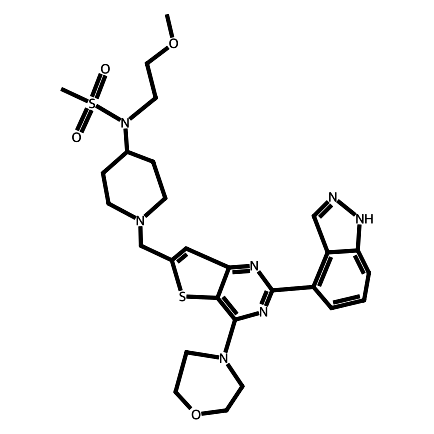 COCCN(C1CCN(Cc2cc3nc(-c4cccc5[nH]ncc45)nc(N4CCOCC4)c3s2)CC1)S(C)(=O)=O